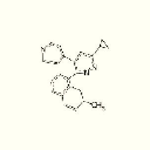 CC1C=Cc2cccc(-c3nnc(C4CC4)cc3-c3ccncc3)c2C1